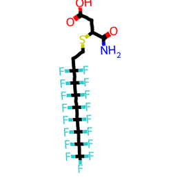 NC(=O)C(CC(=O)O)SCCC(F)(F)C(F)(F)C(F)(F)C(F)(F)C(F)(F)C(F)(F)C(F)(F)C(F)(F)F